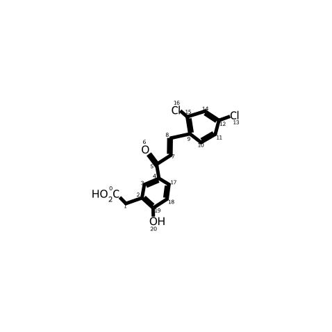 O=C(O)Cc1cc(C(=O)C=Cc2ccc(Cl)cc2Cl)ccc1O